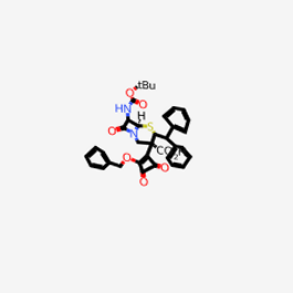 CC(C)(C)OC(=O)NC1C(=O)N2CC(C(=O)O)(c3c(OCc4ccccc4)c(=O)c3=O)C(C(c3ccccc3)c3ccccc3)S[C@H]12